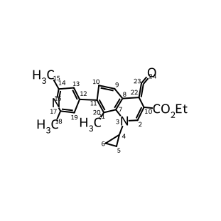 CCOC(=O)C1=CN(C2CC2)c2c(ccc(-c3cc(C)nc(C)c3)c2C)C1=C=O